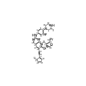 CC1CN(c2ccc(Nc3ncc4cc(C#CC5=CC=CC5C)c(=O)n(Cc5ncoc5C(C)C)c4n3)cc2F)CCN1